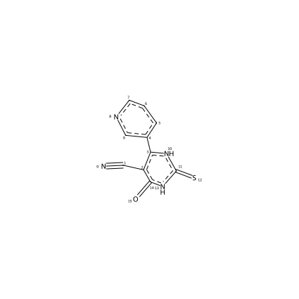 N#Cc1c(-c2cccnc2)[nH]c(=S)[nH]c1=O